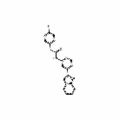 O=C(Cc1ccc(F)cc1)Nc1cc(-c2cc3nccnc3[nH]2)ccn1